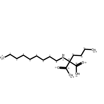 CCCCCCCCCNC(CCCC)(C(C)=O)C(=O)O